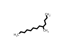 [CH2]CCCC(C)CCCCCCCC